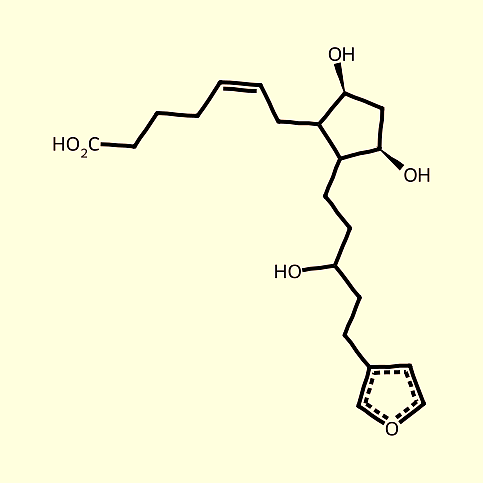 O=C(O)CCC/C=C\CC1C(CCC(O)CCc2ccoc2)[C@H](O)C[C@@H]1O